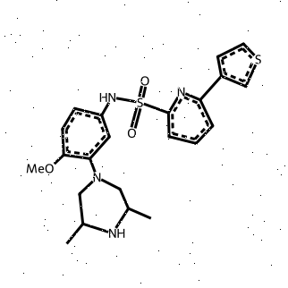 COc1ccc(NS(=O)(=O)c2cccc(-c3ccsc3)n2)cc1N1CC(C)NC(C)C1